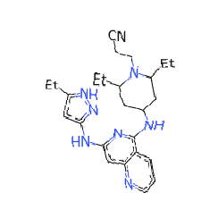 CCc1cc(Nc2cc3ncccc3c(NC3CC(CC)N(CCC#N)C(CC)C3)n2)n[nH]1